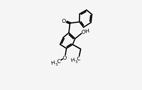 CCc1c(OC)ccc(C(=O)c2ccccc2)c1O